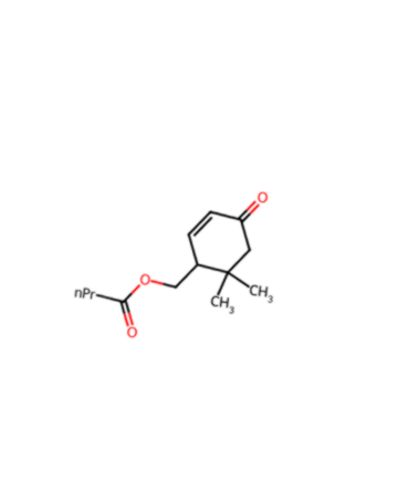 CCCC(=O)OCC1C=CC(=O)CC1(C)C